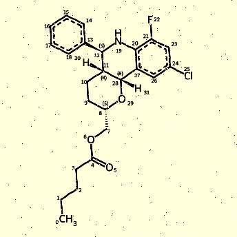 CCCCC(=O)OC[C@@H]1CC[C@@H]2[C@@H](c3ccccc3)Nc3c(F)cc(Cl)cc3[C@@H]2O1